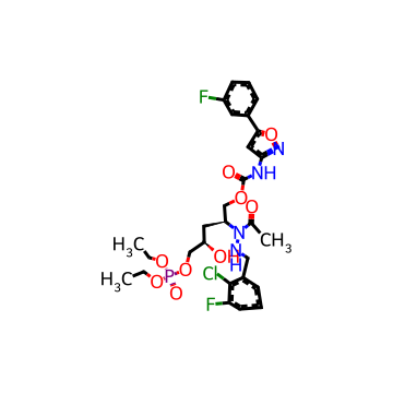 CCOP(=O)(OCC)OC[C@H](O)C[C@@H](COC(=O)Nc1cc(-c2cccc(F)c2)on1)N(NCc1cccc(F)c1Cl)C(C)=O